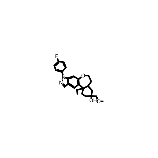 CCC12CCC(O)(COC)CC1CCOc1cc3c(cnn3-c3ccc(F)cc3)cc12